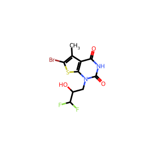 Cc1c(Br)sc2c1c(=O)[nH]c(=O)n2CC(O)C(F)F